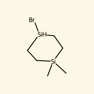 C[Si]1(C)CC[SiH](Br)CC1